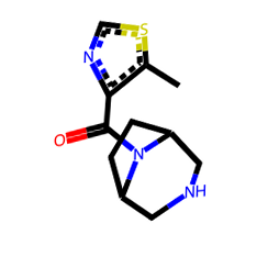 Cc1scnc1C(=O)N1C2CCC1CNC2